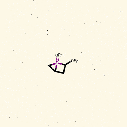 CCCC1CC2C[PH]12CCC